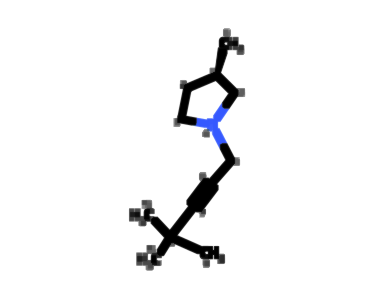 C[C@@H]1CCN(CC#CC(C)(C)C)C1